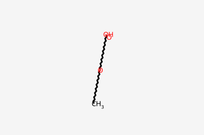 CCCCCCCCCCCCCCCCOCCCCCCCCCCCCCCCC(=O)O